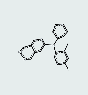 Cc1cc(F)ccc1N(c1ccc2cnncc2c1)c1ccccn1